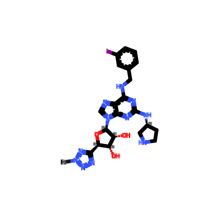 CCn1nnc([C@H]2O[C@@H](n3cnc4c(NCc5cccc(I)c5)nc(N[C@@H]5CCNC5)nc43)[C@H](O)[C@@H]2O)n1